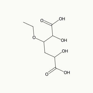 CCOC(CC(O)C(=O)O)C(O)C(=O)O